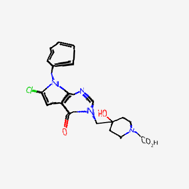 O=C(O)N1CCC(O)(Cn2cnc3c(cc(Cl)n3-c3ccccc3)c2=O)CC1